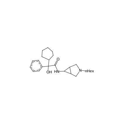 CCCCCCN1CC2C(C1)C2NC(=O)C(O)(c1ccccc1)C1CCCCC1